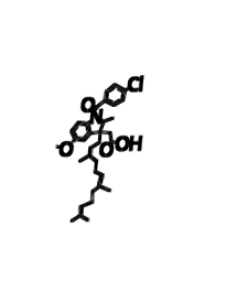 COc1ccc2c(c1)C(CC=C(C)CCC=C(C)CCC=C(C)C)(CC(=O)O)C(C)N2C(=O)c1ccc(Cl)cc1